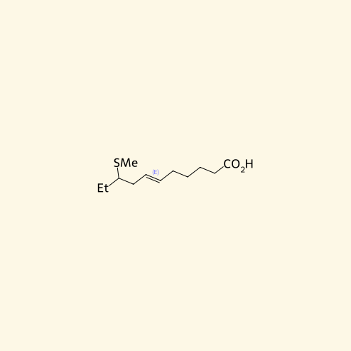 CCC(C/C=C/CCCCC(=O)O)SC